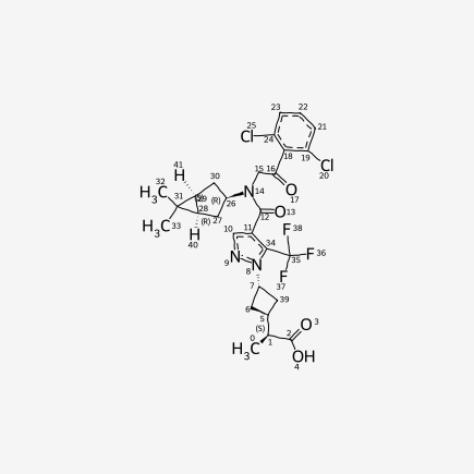 C[C@H](C(=O)O)[C@H]1C[C@H](n2ncc(C(=O)N(CC(=O)c3c(Cl)cccc3Cl)[C@H]3C[C@@H]4[C@H](C3)C4(C)C)c2C(F)(F)F)C1